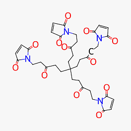 O=C(CCN1C(=O)C=CC1=O)CCC(CCC(=O)CCN1C(=O)C=CC1=O)(CCC(=O)CCN1C(=O)C=CC1=O)CCC(=O)CCN1C(=O)C=CC1=O